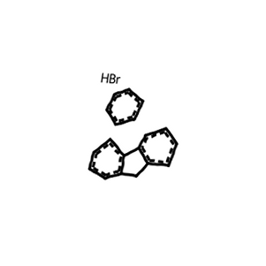 Br.c1ccc2c(c1)Cc1ccccc1-2.c1ccccc1